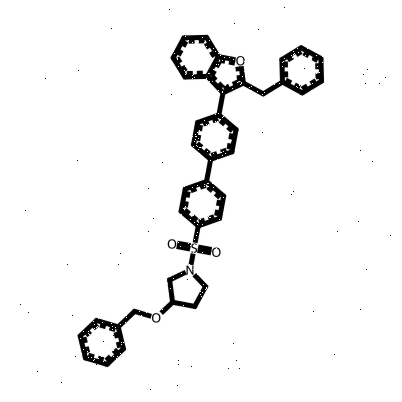 O=S(=O)(c1ccc(-c2ccc(-c3c(Cc4ccccc4)oc4ccccc34)cc2)cc1)N1CCC(OCc2ccccc2)C1